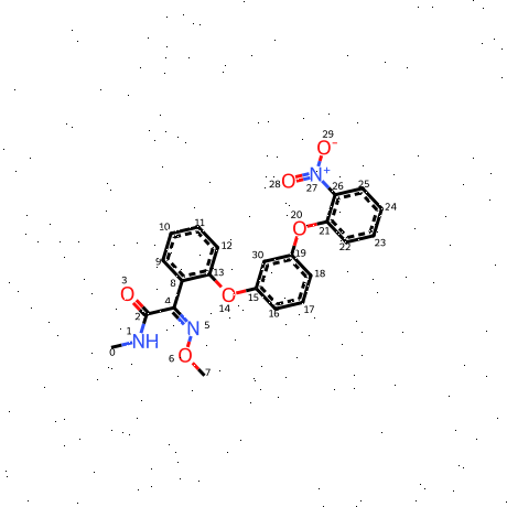 CNC(=O)/C(=N\OC)c1ccccc1Oc1cccc(Oc2ccccc2[N+](=O)[O-])c1